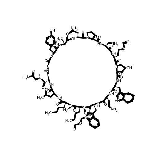 CCCC[C@H]1C(=O)N(C)[C@@H](CCCC)C(=O)NC(CC(C)C)C(=O)N[C@H](C(=O)NCC(N)=O)CNCC(=O)N[C@@H](Cc2ccc(O)cc2)C(=O)N(C)[C@@H](C)C(=O)N[C@@H](CC(N)=O)C(=O)N2CCC[C@H]2C(=O)N[C@@H](CN)C(=O)N[C@@H](CCOC=O)C(=O)N2C[C@H](O)C[C@H]2C(=O)N[C@@H](Cc2c[nH]c3ccccc23)C(=O)N[C@@H](CCN)C(=O)N[C@@H](Cc2cn(COC=O)c3ccccc23)C(=O)N1C